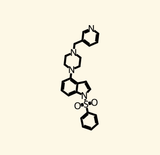 O=S(=O)(c1ccccc1)n1ccc2c(N3CCN(Cc4cccnc4)CC3)cccc21